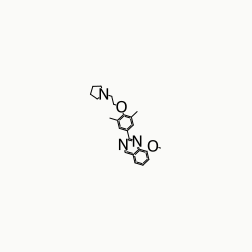 COc1cccc2cnc(-c3cc(C)c(OCCN4CCCC4)c(C)c3)nc12